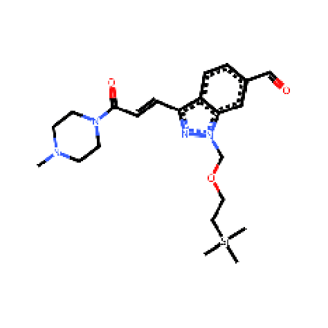 CN1CCN(C(=O)C=Cc2nn(COCC[Si](C)(C)C)c3cc(C=O)ccc23)CC1